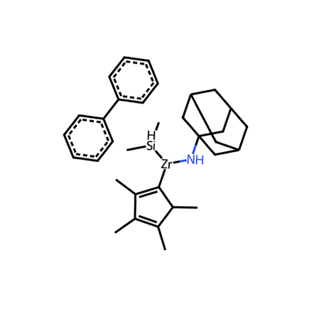 CC1=C(C)C(C)[C]([Zr]([NH]C23CC4CC(CC(C4)C2)C3)[SiH](C)C)=C1C.c1ccc(-c2ccccc2)cc1